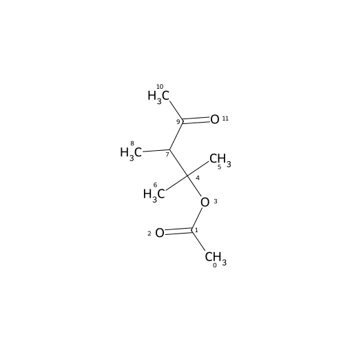 CC(=O)OC(C)(C)C(C)C(C)=O